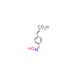 O=C(O)/C=C/c1ccc(/C=N\O)cc1